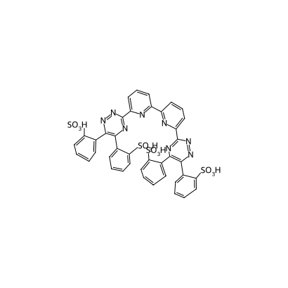 O=S(=O)(O)c1ccccc1-c1nnc(-c2cccc(-c3cccc(-c4nnc(-c5ccccc5S(=O)(=O)O)c(-c5ccccc5S(=O)(=O)O)n4)n3)n2)nc1-c1ccccc1S(=O)(=O)O